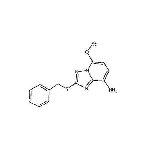 CCOc1ccc(N)c2nc(SCc3ccccc3)nn12